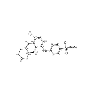 CNS(=O)(=O)c1ccc(Nc2ncc(C(F)(F)F)c(O[C@@H]3CCOC[C@@H]3O)n2)cc1